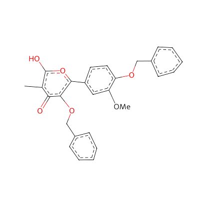 COc1cc(-c2oc(O)c(C)c(=O)c2OCc2ccccc2)ccc1OCc1ccccc1